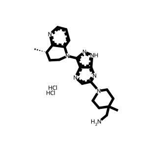 C[C@H]1CCN(c2n[nH]c3nc(N4CCC(C)(CN)CC4)cnc23)c2cccnc21.Cl.Cl